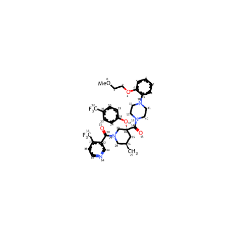 COCCOc1ccccc1N1CCN(C(=O)[C@@]2(Oc3ccc(C(F)(F)F)cc3)C[C@@H](C)CN(C(=O)c3cnccc3C(F)(F)F)C2)CC1